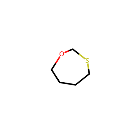 C1CCSCOC1